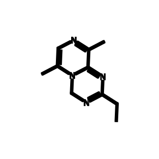 CCC1=NCN2C(C)=CN=C(C)C2=N1